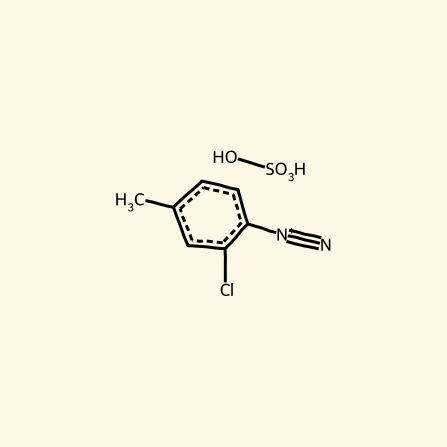 Cc1ccc([N+]#N)c(Cl)c1.O=S(=O)(O)O